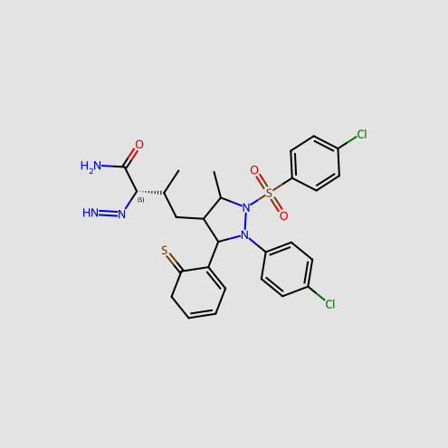 CC(CC1C(C2=CC=CCC2=S)N(c2ccc(Cl)cc2)N(S(=O)(=O)c2ccc(Cl)cc2)C1C)[C@H](N=N)C(N)=O